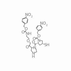 O=C(NCCOCC(=O)C1CNCCN1C(=O)[C@@H]1C[C@H](S)CN1C(=O)OCc1ccc([N+](=O)[O-])cc1)OCc1ccc([N+](=O)[O-])cc1